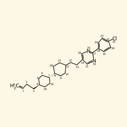 C=CCC[C@H]1CC[C@H](C2CCC(CCc3cnc(-c4ccc(Cl)cc4)nc3)CC2)CC1